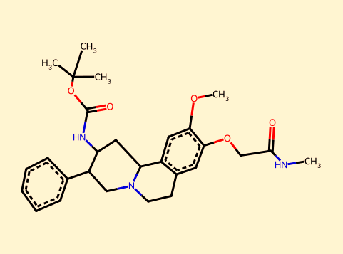 CNC(=O)COc1cc2c(cc1OC)C1CC(NC(=O)OC(C)(C)C)C(c3ccccc3)CN1CC2